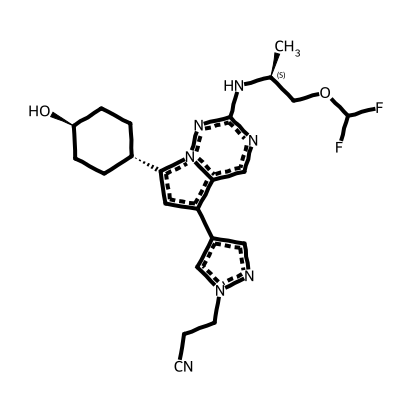 C[C@@H](COC(F)F)Nc1ncc2c(-c3cnn(CCC#N)c3)cc([C@H]3CC[C@H](O)CC3)n2n1